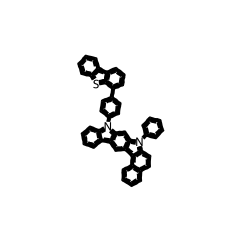 c1ccc(-n2c3cc4c(cc3c3c5ccccc5ccc32)c2ccccc2n4-c2ccc(-c3cccc4c3sc3ccccc34)cc2)cc1